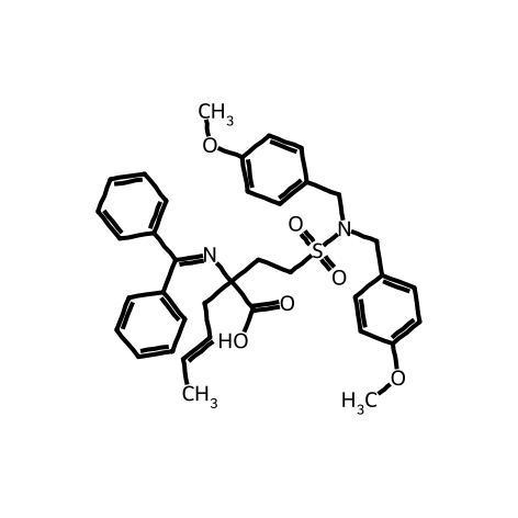 CC=CCC(CCS(=O)(=O)N(Cc1ccc(OC)cc1)Cc1ccc(OC)cc1)(N=C(c1ccccc1)c1ccccc1)C(=O)O